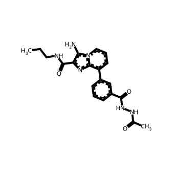 CCCNC(=O)c1nc2c(-c3cccc(C(=O)NNC(C)=O)c3)cccn2c1N